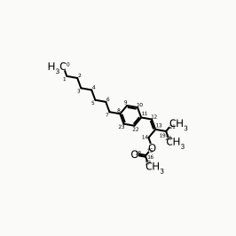 CCCCCCCCc1ccc(C=C(COC(C)=O)C(C)C)cc1